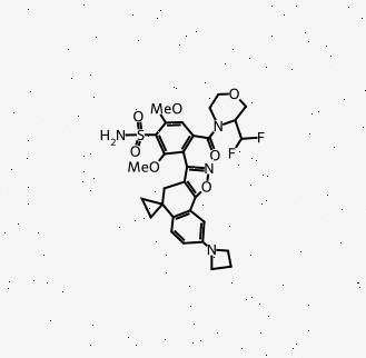 COc1cc(C(=O)N2CCOCC2C(F)F)c(-c2noc3c2CC2(CC2)c2ccc(N4CCC4)cc2-3)c(OC)c1S(N)(=O)=O